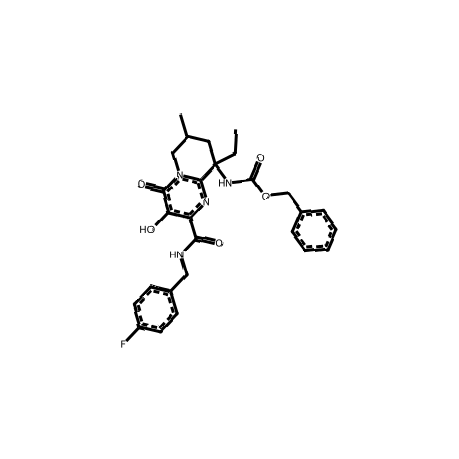 CCC1(NC(=O)OCc2ccccc2)CC(C)Cn2c1nc(C(=O)NCc1ccc(F)cc1)c(O)c2=O